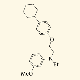 CCN(CCOc1ccc(C2CCCCC2)cc1)c1cccc(OC)c1